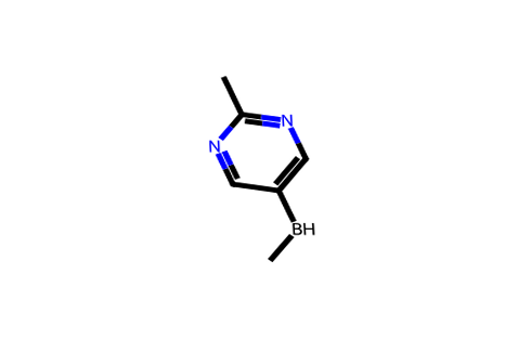 CBc1cnc(C)nc1